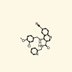 COc1ccc(CNc2c(C(=O)NCc3ccccn3)cnc3ccc(C#N)cc23)cc1Cl